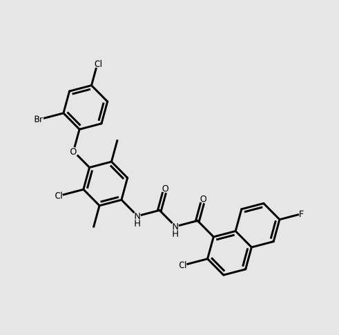 Cc1cc(NC(=O)NC(=O)c2c(Cl)ccc3cc(F)ccc23)c(C)c(Cl)c1Oc1ccc(Cl)cc1Br